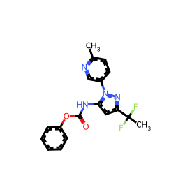 Cc1ccc(-n2nc(C(C)(F)F)cc2NC(=O)Oc2ccccc2)cn1